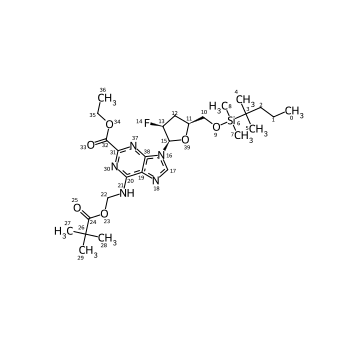 CCCC(C)(C)[Si](C)(C)OC[C@@H]1C[C@H](F)[C@H](n2cnc3c(NCOC(=O)C(C)(C)C)nc(C(=O)OCC)nc32)O1